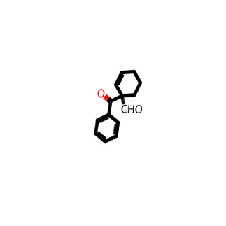 O=CC1(C(=O)c2ccccc2)C=CCCC1